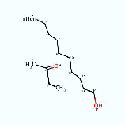 CCC(C)=O.CCCCCCCCCCCCCCCCCCO